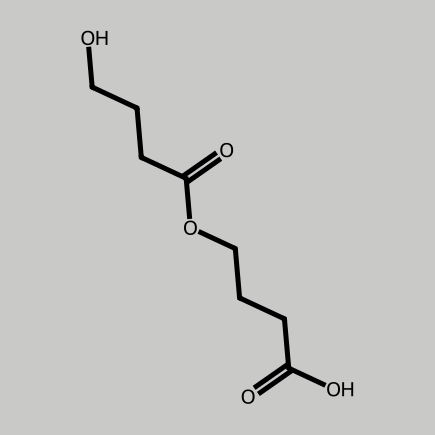 O=C(O)CCCOC(=O)CCCO